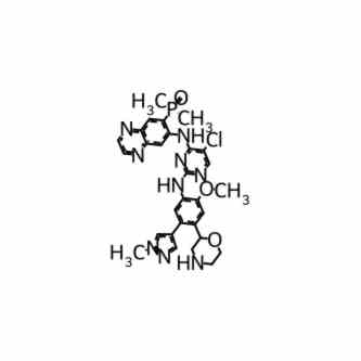 COc1cc(C2CNCCO2)c(-c2cnn(C)c2)cc1Nc1ncc(Cl)c(Nc2cc3nccnc3cc2P(C)(C)=O)n1